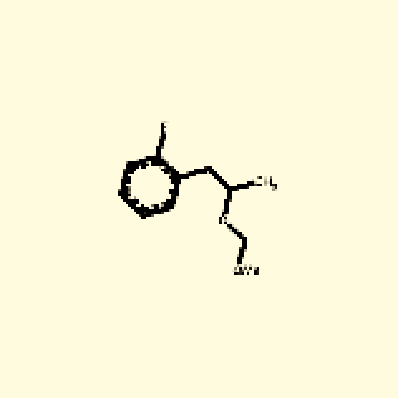 COCOC(C)Cc1ccccc1F